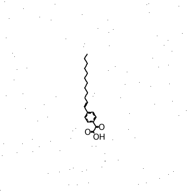 CCCCCCCCCCC=Cc1ccc(C(=O)C(=O)O)cc1